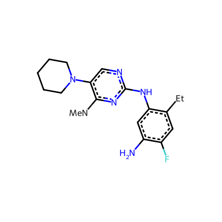 CCc1cc(F)c(N)cc1Nc1ncc(N2CCCCC2)c(NC)n1